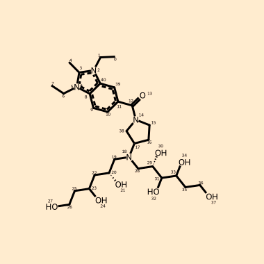 CCn1c(C)[n+](CC)c2ccc(C(=O)N3CCC(N(C[C@H](O)CC(O)CCO)C[C@H](O)C(O)C(O)CCO)C3)cc21